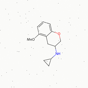 COc1cccc2c1CC(NC1CC1)CO2